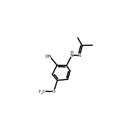 CC(C)=NNc1ccc(OC(F)(F)F)cc1N=O